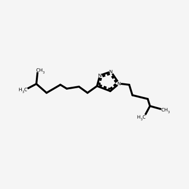 CC(C)CCCCCc1cn(CCCC(C)C)nn1